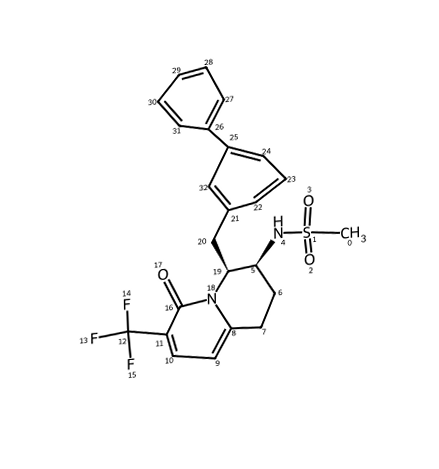 CS(=O)(=O)N[C@H]1CCc2ccc(C(F)(F)F)c(=O)n2[C@H]1Cc1cccc(-c2ccccc2)c1